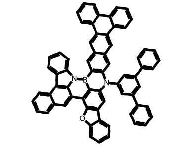 c1ccc(-c2cc(-c3ccccc3)cc(N3c4cc5cc6c7ccccc7c7ccccc7c6cc5cc4B4c5c3cc3c(oc6ccccc63)c5-c3cc5ccccc5c5c6ccccc6n4c35)c2)cc1